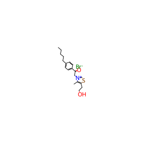 CCCCCc1ccc(C(=O)C[n+]2csc(CCO)c2C)cc1.[Br-]